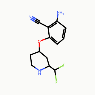 N#Cc1c(N)cccc1OC1CCNC(C(F)F)C1